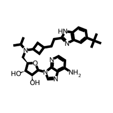 CC(C)N(C[C@H]1OC(n2cnc3c(N)ccnc32)[C@H](O)[C@@H]1O)C1CC(CCc2nc3cc(C(C)(C)C)ccc3[nH]2)C1